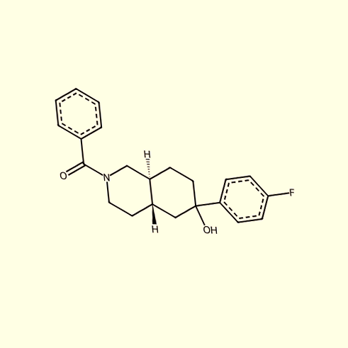 O=C(c1ccccc1)N1CC[C@H]2CC(O)(c3ccc(F)cc3)CC[C@@H]2C1